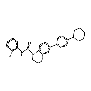 O=C(Nc1ccccc1F)N1CCOc2cc(-c3ccc(C4CCCCC4)cc3)ccc21